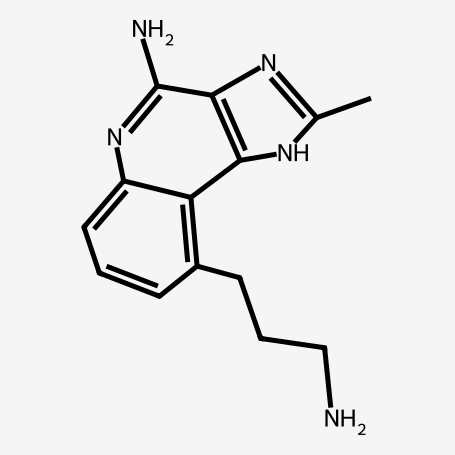 Cc1nc2c(N)nc3cccc(CCCN)c3c2[nH]1